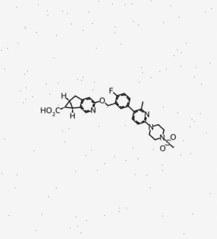 Cc1nc(N2CCN(S(C)(=O)=O)CC2)ccc1-c1ccc(F)c(COc2cc3c(cn2)[C@H]2[C@@H](C3)[C@@H]2C(=O)O)c1